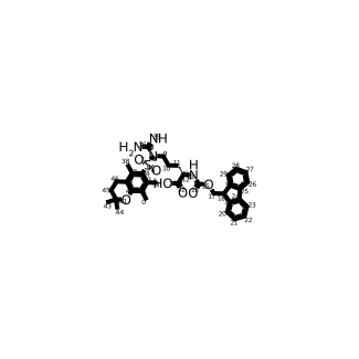 Cc1c(C)c(S(=O)(=O)N(CCC[C@H](NC(=O)OCC2c3ccccc3-c3ccccc32)C(=O)O)C(=N)N)c(C)c2c1OC(C)(C)CC2